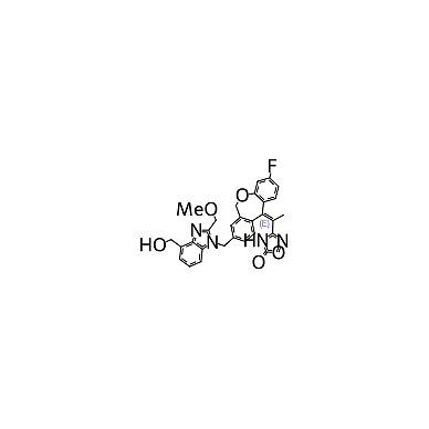 COCc1nc2c(CO)cccc2n1Cc1ccc2c(c1)COc1cc(F)ccc1/C2=C(\C)c1noc(=O)[nH]1